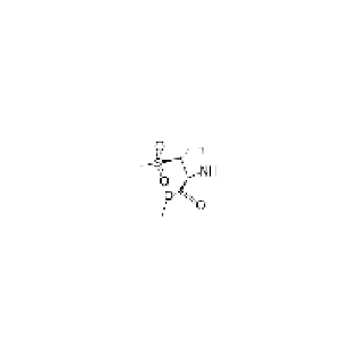 COC(=O)[C@@H]1NCC[C@@H]1S(C)(=O)=O